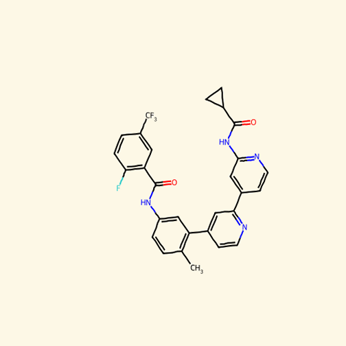 Cc1ccc(NC(=O)c2cc(C(F)(F)F)ccc2F)cc1-c1ccnc(-c2ccnc(NC(=O)C3CC3)c2)c1